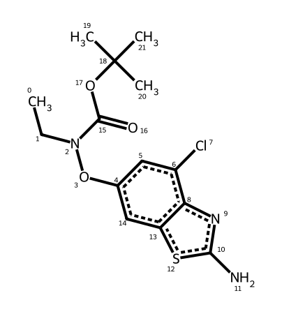 CCN(Oc1cc(Cl)c2nc(N)sc2c1)C(=O)OC(C)(C)C